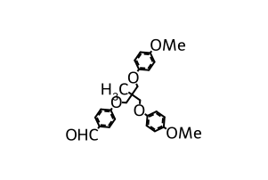 COc1ccc(OCC(C)(COc2ccc(C=O)cc2)COc2ccc(OC)cc2)cc1